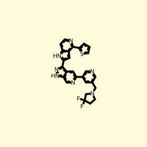 FC1(F)CCN(Cc2cncc(-c3cc4c(-c5cc6c(-c7cccs7)nccc6[nH]5)n[nH]c4cn3)c2)C1